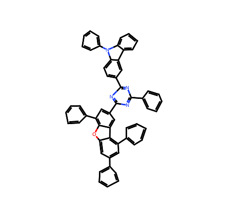 c1ccc(-c2cc(-c3ccccc3)c3c(c2)oc2c(-c4ccccc4)cc(-c4nc(-c5ccccc5)nc(-c5ccc6c(c5)c5ccccc5n6-c5ccccc5)n4)cc23)cc1